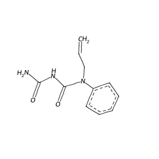 C=CCN(C(=O)NC(N)=O)c1ccccc1